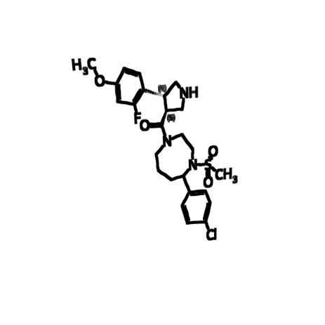 COc1ccc([C@@H]2CNC[C@H]2C(=O)N2CCCC(c3ccc(Cl)cc3)N(S(C)(=O)=O)CC2)c(F)c1